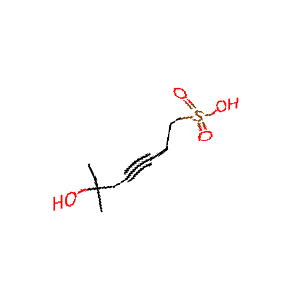 CC(C)(O)C#CCCS(=O)(=O)O